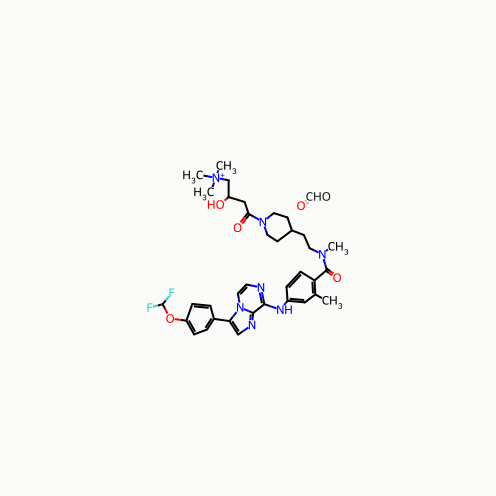 Cc1cc(Nc2nccn3c(-c4ccc(OC(F)F)cc4)cnc23)ccc1C(=O)N(C)CCC1CCN(C(=O)CC(O)C[N+](C)(C)C)CC1.O=C[O-]